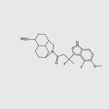 COc1ccc2[nH]cc(C(C)(F)CC(=O)N3CC4CCC(C#N)C5CCC3CC45)c2c1F